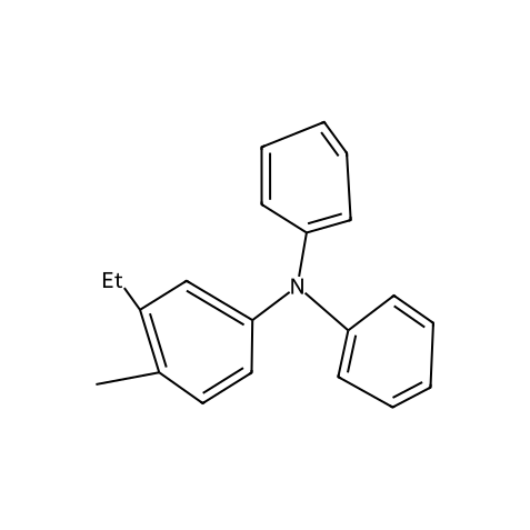 CCc1cc(N(c2ccccc2)c2ccccc2)ccc1C